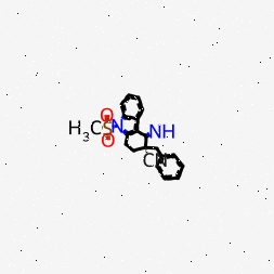 CS(=O)(=O)n1c2c(c3ccccc31)C(=N)[C@@](C#N)(Cc1ccccc1)CC2